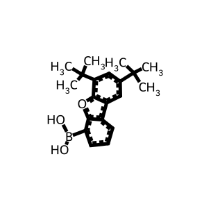 CC(C)(C)c1cc(C(C)(C)C)c2oc3c(B(O)O)cccc3c2c1